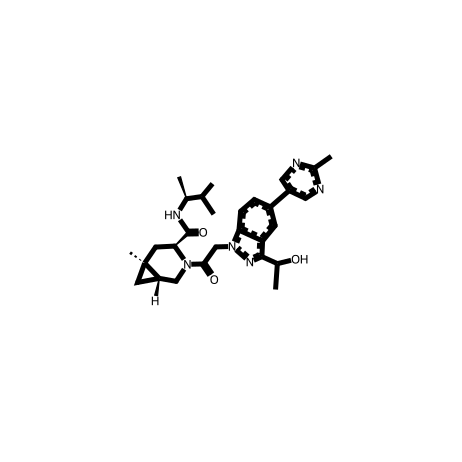 Cc1ncc(-c2ccc3c(c2)c(C(C)O)nn3CC(=O)N2C[C@@H]3C[C@@]3(C)C[C@H]2C(=O)N[C@@H](C)C(C)C)cn1